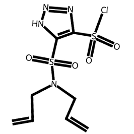 C=CCN(CC=C)S(=O)(=O)c1[nH]nnc1S(=O)(=O)Cl